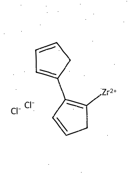 [Cl-].[Cl-].[Zr+2][C]1=C(C2=CC=CC2)C=CC1